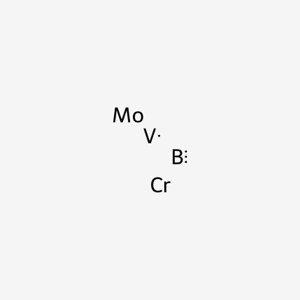 [B].[Cr].[Mo].[V]